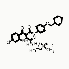 C[N+](C)(C)CCO.O=c1c2ccc(Cl)cc2[nH]c2c(O)nn(-c3ccc(OCc4ccccc4)cc3)c(=O)c12